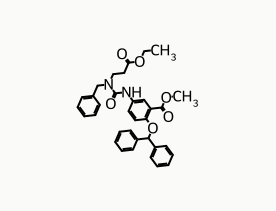 CCOC(=O)CCN(Cc1ccccc1)C(=O)Nc1ccc(OC(c2ccccc2)c2ccccc2)c(C(=O)OC)c1